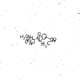 CNC(=O)c1cc(Cn2ccc3cc(-c4conc4C)ccc3c2=O)ccn1